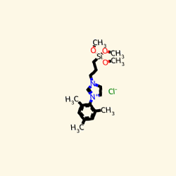 CO[Si](CCCN1C=[N+](c2c(C)cc(C)cc2C)CC1)(OC)OC.[Cl-]